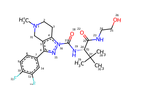 CN1CCc2c(c(-c3ccc(F)c(F)c3)nn2C(=O)N[C@H](C(=O)NCCO)C(C)(C)C)C1